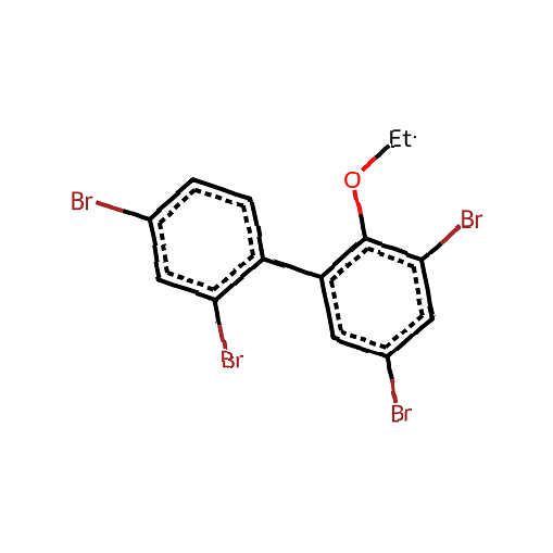 C[CH]Oc1c(Br)cc(Br)cc1-c1ccc(Br)cc1Br